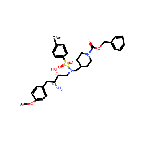 CCCCOc1ccc(C[C@H](N)[C@H](O)CN(CC2CCN(C(=O)OCc3ccccc3)CC2)S(=O)(=O)c2ccc(OC)cc2)cc1